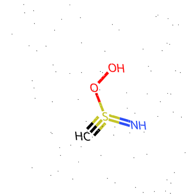 C#S(=N)OO